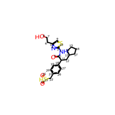 O=C(Nc1nc(CCO)cs1)C(CC1CCCC1)c1ccc(C[SH](=O)=O)cc1